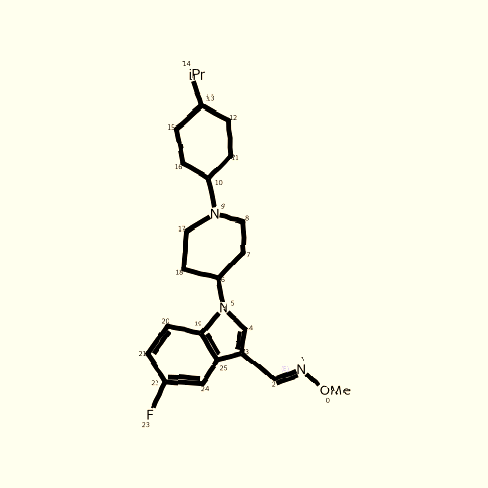 CO/N=C/c1cn(C2CCN(C3CCC(C(C)C)CC3)CC2)c2ccc(F)cc12